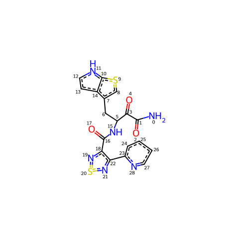 NC(=O)C(=O)C(Cc1csc2[nH]ccc12)NC(=O)c1nsnc1-c1ccccn1